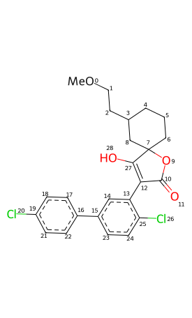 COCCC1CCCC2(C1)OC(=O)C(c1cc(-c3ccc(Cl)cc3)ccc1Cl)=C2O